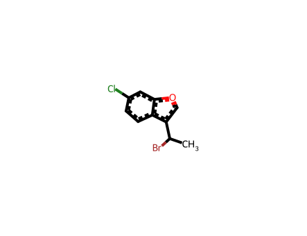 CC(Br)c1coc2cc(Cl)ccc12